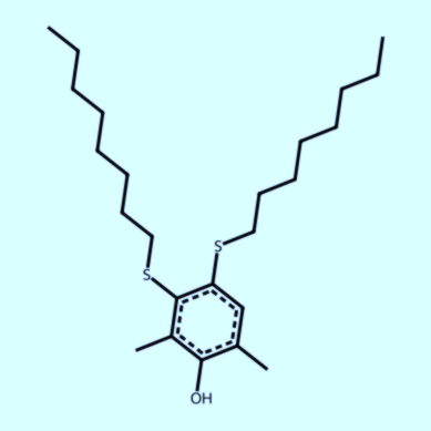 CCCCCCCCSc1cc(C)c(O)c(C)c1SCCCCCCCC